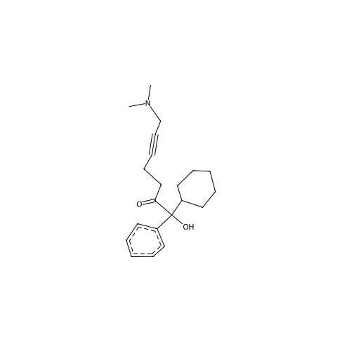 CN(C)CC#CCCC(=O)C(O)(c1ccccc1)C1CCCCC1